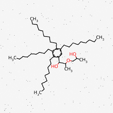 CCCCCCCCCc1cc(C(O)C(C)OCC(C)O)c(CCCCCCCCC)c(CCCCCCCCC)c1CCCCCCCCC